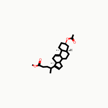 COC(=O)CCC(C)C1=CCC2C3CC[C@@H]4C[C@H](OC(C)=O)CC[C@]4(C)C3=CC[C@]12C